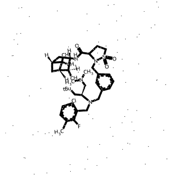 Cc1ccc(Cl)c(CN(Cc2cccc(CN3C(C(=O)N[C@H]4C[C@H]5C[C@@H]([C@@H]4C)C5(C)C)CCS3(=O)=O)c2)[C@H](CN(C)C)CC(C)(C)C)c1F